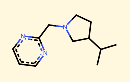 CC(C)C1CCN(Cc2ncccn2)C1